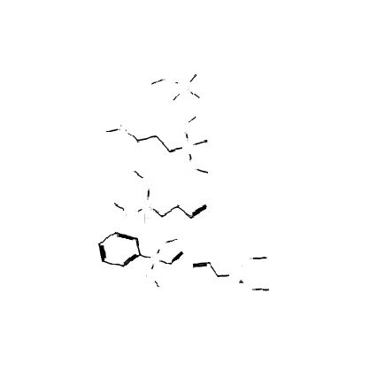 C=CCC[SiH](OC)OC.C=CC[SiH](OC)OC.C=C[Si](OC)(OC)c1ccccc1.CNCCC[Si](C)(OC)OC.CO[Si](C)(C)C